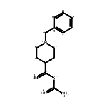 N=C(N)SC(=N)C1CCN(Cc2ccccc2)CC1